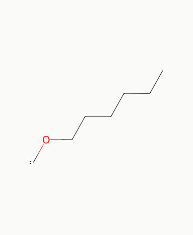 [CH]OCCCCCC